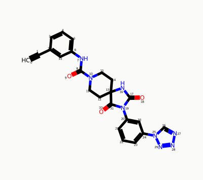 C#Cc1cccc(NC(=O)N2CCC3(CC2)NC(=O)N(c2cccc(-n4cnnn4)c2)C3=O)c1